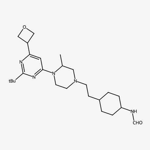 CC1CN(CCC2CCC(NC=O)CC2)CCN1c1cc(C2COC2)nc(C(C)(C)C)n1